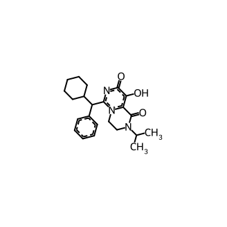 CC(C)N1CCn2c(C(c3ccccc3)C3CCCCC3)nc(=O)c(O)c2C1=O